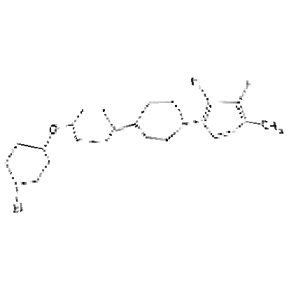 CCC1CCC(OC2CCC(=C3CCC(c4ccc(C)c(F)c4F)CC3)CC2)CC1